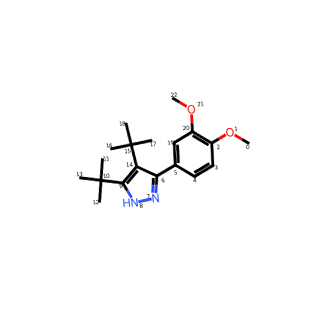 COc1ccc(-c2n[nH]c(C(C)(C)C)c2C(C)(C)C)cc1OC